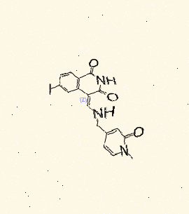 Cn1ccc(CN/C=C2\C(=O)NC(=O)c3ccc(I)cc32)cc1=O